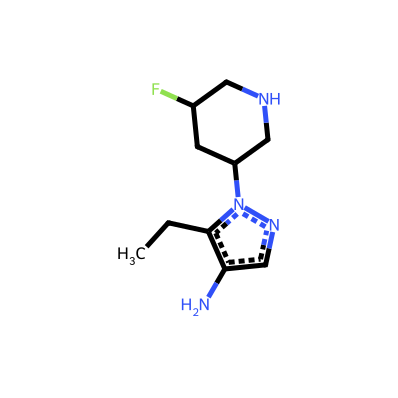 CCc1c(N)cnn1C1CNCC(F)C1